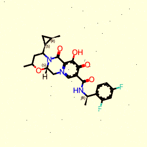 CC1CC([C@H]2C[C@H]2C)N2C(=O)c3c(O)c(=O)c(C(=O)N[C@H](C)c4ccc(F)cc4F)cn3C[C@@H]2O1